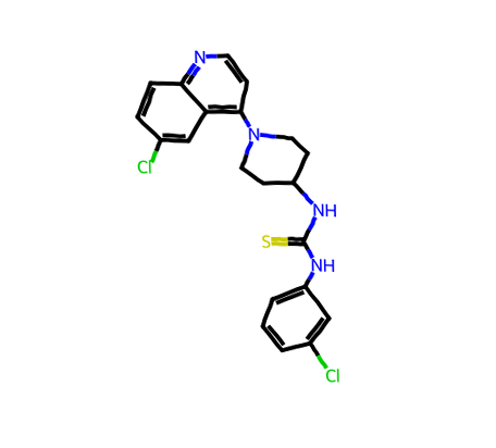 S=C(Nc1cccc(Cl)c1)NC1CCN(c2ccnc3ccc(Cl)cc23)CC1